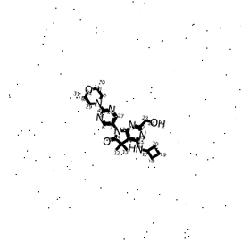 C[C@@H]1CN(c2ncc(N3C(=O)C(C)(C)c4c(NC5CCC5)nc(CO)nc43)cn2)C[C@H](C)O1